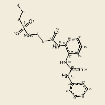 CCCS(=O)(=O)NCCC(=O)Nc1ccccc1NC(=O)Nc1ccccc1